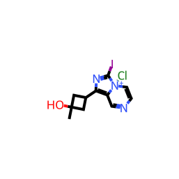 CC1(O)CC(C2=C3C=NC=C[N+]3(Cl)C(I)=N2)C1